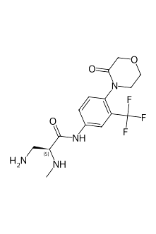 CN[C@@H](CN)C(=O)Nc1ccc(N2CCOCC2=O)c(C(F)(F)F)c1